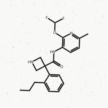 CCCc1ccccc1C1(C(=O)Nc2ccc(C)nc2OC(F)F)CNC1